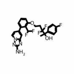 CC(O)(c1ccc(F)cc1)C(F)(F)CCOc1cccc(-c2ccn3nc(N)nc3c2)c1C(F)F